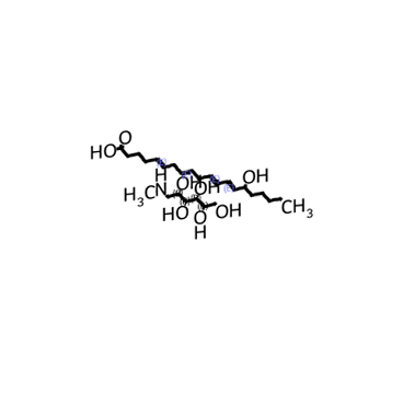 CCCCCC(O)/C=C/C=C/C/C=C/C/C=C/CCCC(=O)O.CNC[C@H](O)[C@@H](O)[C@H](O)[C@H](O)CO